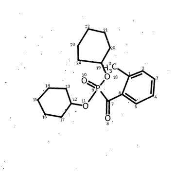 Cc1ccccc1C(=O)P(=O)(OC1CCCCC1)OC1CCCCC1